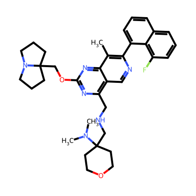 Cc1c(-c2cccc3cccc(F)c23)ncc2c(CNCC3(N(C)C)CCOCC3)nc(OCC34CCCN3CCC4)nc12